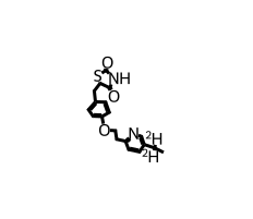 [2H]C([2H])(C)c1ccc(CCOc2ccc(CC3SC(=O)NC3=O)cc2)nc1